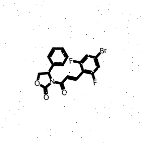 O=C(/C=C/c1c(F)cc(Br)cc1F)N1C(=O)OCC1c1ccccc1